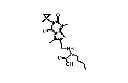 CCCCN(NCc1sc2c(c1C)c(=O)n(C1(C)CC1)c(=O)n2C)C(=O)O